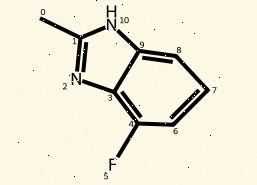 Cc1nc2c(F)cccc2[nH]1